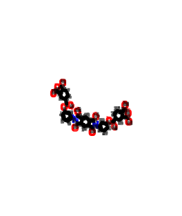 O=C(Oc1cccc(N2C(=O)C3CC4C(=O)N(c5cccc(OC(=O)C6CCC7C(=O)OC(=O)C7C6)c5)C(=O)C4CC3C2=O)c1)C1CCC2C(=O)OC(=O)C2C1